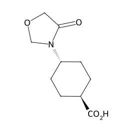 O=C1COCN1[C@H]1CC[C@H](C(=O)O)CC1